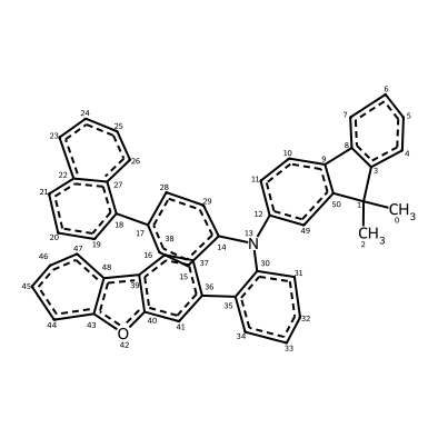 CC1(C)c2ccccc2-c2ccc(N(c3ccc(-c4cccc5ccccc45)cc3)c3ccccc3-c3ccc4c(c3)oc3ccccc34)cc21